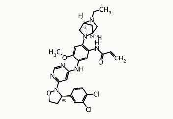 C=CC(=O)Nc1cc(Nc2cc(N3OCC[C@@H]3c3ccc(Cl)c(Cl)c3)ncn2)c(OC)cc1N1C[C@@H]2C[C@H]1CN2CC